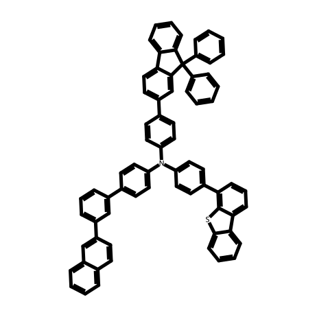 c1ccc(C2(c3ccccc3)c3ccccc3-c3ccc(-c4ccc(N(c5ccc(-c6cccc(-c7ccc8ccccc8c7)c6)cc5)c5ccc(-c6cccc7c6sc6ccccc67)cc5)cc4)cc32)cc1